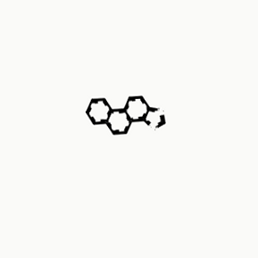 c1ccc2c(c1)ccc1c2ccc2[nH]cnc21